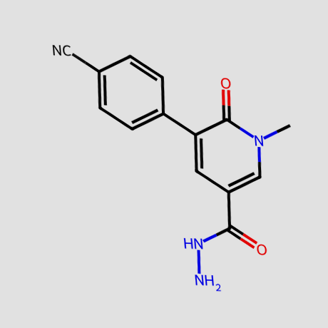 Cn1cc(C(=O)NN)cc(-c2ccc(C#N)cc2)c1=O